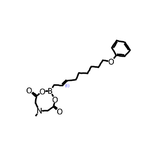 CN1CC(=O)OB(C/C=C/CCCCCCOc2ccccc2)OC(=O)C1